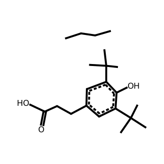 CC(C)(C)c1cc(CCC(=O)O)cc(C(C)(C)C)c1O.CCCC